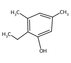 CCc1c(C)cc(C)cc1O